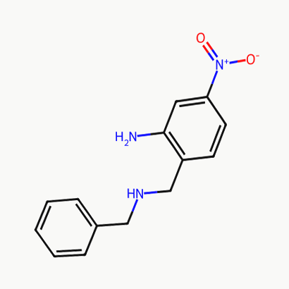 Nc1cc([N+](=O)[O-])ccc1CNCc1ccccc1